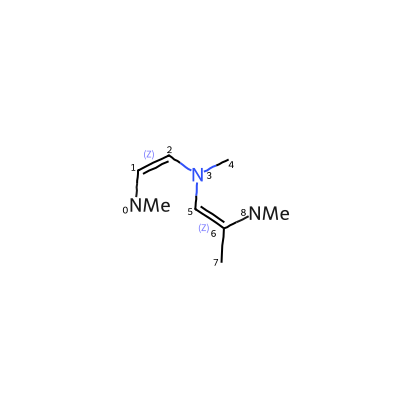 CN/C=C\N(C)/C=C(/C)NC